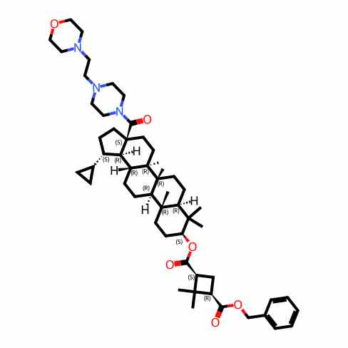 CC1(C)[C@@H](C(=O)O[C@H]2CC[C@]3(C)[C@H]4CC[C@@H]5[C@H]6[C@H](C7CC7)CC[C@]6(C(=O)N6CCN(CCN7CCOCC7)CC6)CC[C@@]5(C)[C@]4(C)CC[C@H]3C2(C)C)C[C@H]1C(=O)OCc1ccccc1